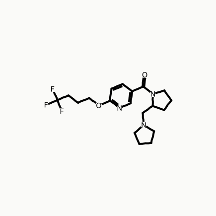 O=C(c1ccc(OCCCC(F)(F)F)nc1)N1CCCC1CN1CCCC1